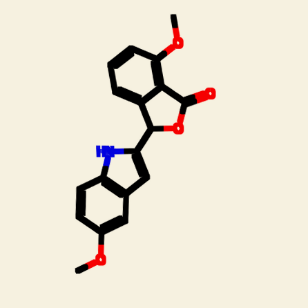 COc1ccc2[nH]c(C3OC(=O)c4c(OC)cccc43)cc2c1